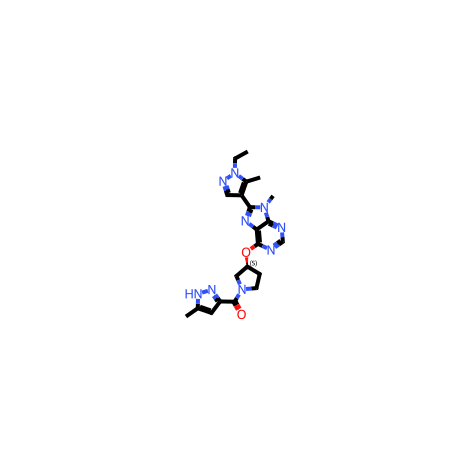 CCn1ncc(-c2nc3c(O[C@H]4CCN(C(=O)c5cc(C)[nH]n5)C4)ncnc3n2C)c1C